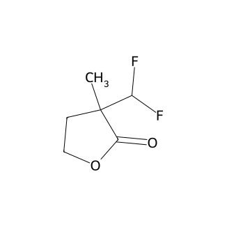 CC1(C(F)F)CCOC1=O